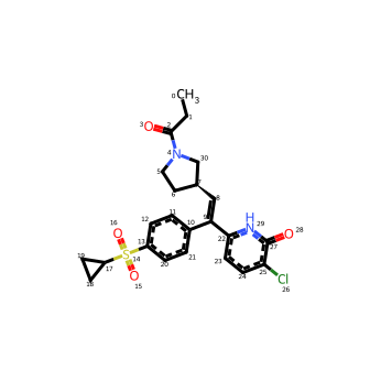 CCC(=O)N1CC[C@H](/C=C(\c2ccc(S(=O)(=O)C3CC3)cc2)c2ccc(Cl)c(=O)[nH]2)C1